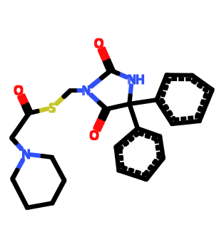 O=C(CN1CCCCC1)SCN1C(=O)NC(c2ccccc2)(c2ccccc2)C1=O